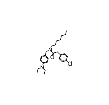 CCCCCCCN(Cc1ccc(N(CC)CC)cc1)C(=O)Cc1ccc(Cl)cc1